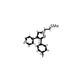 CSCCn1cc(-c2ccncc2)c(-c2ccc(F)cc2)n1